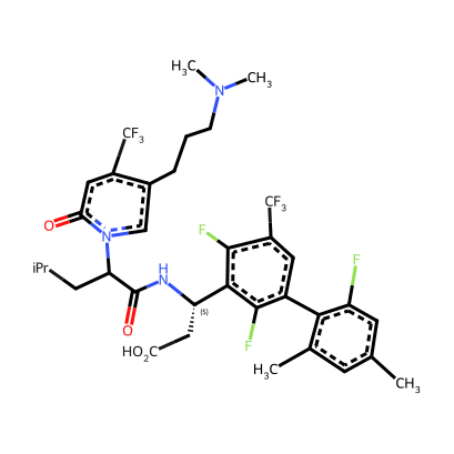 Cc1cc(C)c(-c2cc(C(F)(F)F)c(F)c([C@H](CC(=O)O)NC(=O)C(CC(C)C)n3cc(CCCN(C)C)c(C(F)(F)F)cc3=O)c2F)c(F)c1